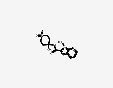 Cn1c(C(=O)NC2(C)CCS(=O)(=O)CC2)nc2cccnc21